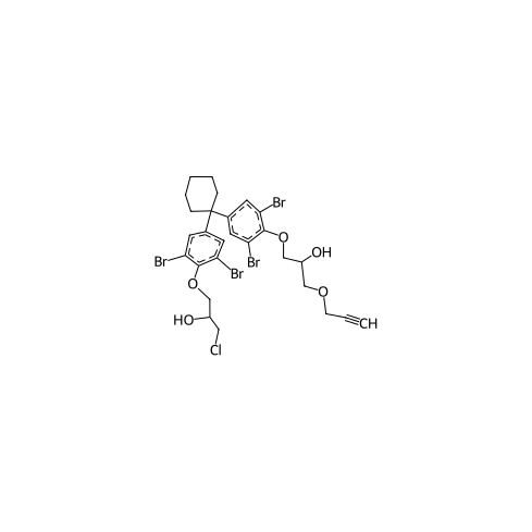 C#CCOCC(O)COc1c(Br)cc(C2(c3cc(Br)c(OCC(O)CCl)c(Br)c3)CCCCC2)cc1Br